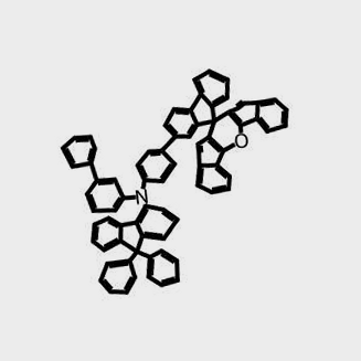 c1ccc(-c2cccc(N(c3ccc(-c4ccc5c(c4)C4(c6ccccc6-5)c5ccc6ccccc6c5Oc5c4ccc4ccccc54)cc3)c3cccc4c3-c3ccccc3C4(c3ccccc3)c3ccccc3)c2)cc1